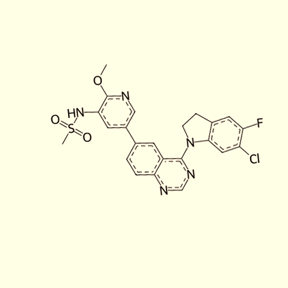 COc1ncc(-c2ccc3ncnc(N4CCc5cc(F)c(Cl)cc54)c3c2)cc1NS(C)(=O)=O